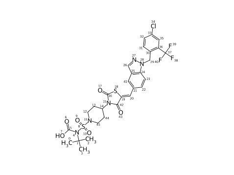 CC(C)(C)N(C(=O)O)S(=O)(=O)N1CCC(N2C(=O)SC(=Cc3ccc4c(cnn4Cc4ccc(Cl)cc4C(F)(F)F)c3)C2=O)CC1